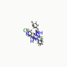 Cc1ccc(C=NNc2nc(Nc3ccc(Cl)nc3)nc(-c3ccccc3F)n2)cc1